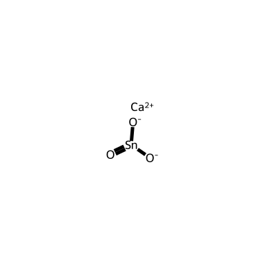 [Ca+2].[O]=[Sn]([O-])[O-]